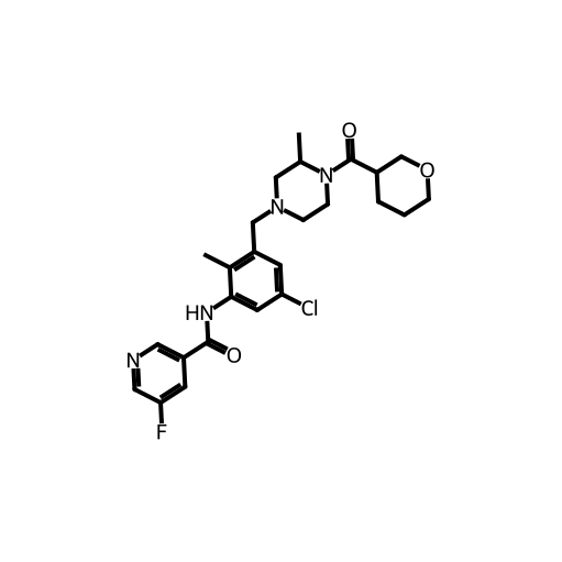 Cc1c(CN2CCN(C(=O)C3CCCOC3)C(C)C2)cc(Cl)cc1NC(=O)c1cncc(F)c1